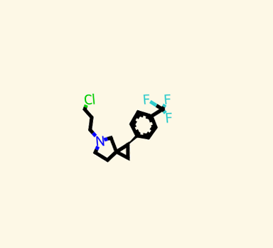 FC(F)(F)c1ccc([C@H]2CC23CCN(CCCCl)C3)cc1